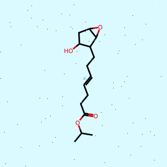 CC(C)OC(=O)CC/C=C/CCC1C(O)CC2OC21